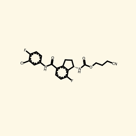 N#CCCCOC(=O)N[C@H]1CCc2c(C(=O)Nc3ccc(F)c(Cl)c3)ccc(F)c21